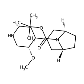 CO[C@@H]1CNCCC1C1C[C@H]2CC[C@H](C1)N2C(=O)OC(C)(C)C